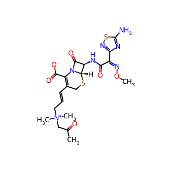 CO/N=C(\C(=O)N[C@@H]1C(=O)N2C(C(=O)[O-])=C(/C=C/C[N+](C)(C)CC(C)=O)CS[C@@H]12)c1nsc(N)n1